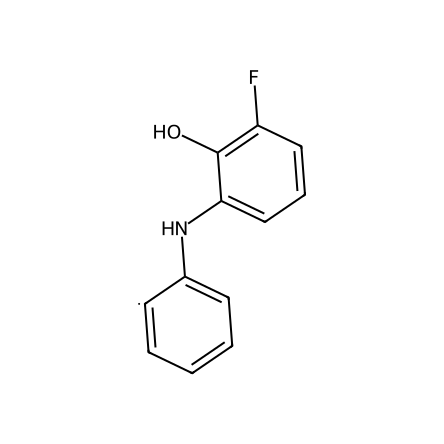 Oc1c(F)cccc1Nc1[c]cccc1